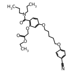 CCCN(CCC)C(=O)c1ccc(OCCCCCOc2ccc(C#N)cc2)cc1OCC(=O)OCC